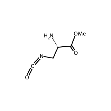 COC(=O)[C@@H](N)CN=C=O